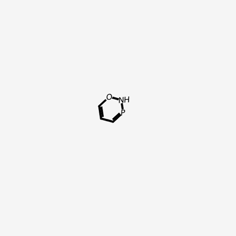 C1=CONP=C1